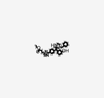 CCOC(=O)CCn1nnc(-c2ccc([C@H](c3cccc(O)c3)[C@@]3(C)CN(Cc4ccccc4)CCN3)cc2)n1